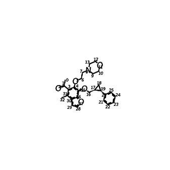 CC(=O)c1c(OCCN2CCOCC2)c(OC[C@H]2C[C@H]2c2ccccc2)c2occc2c1C